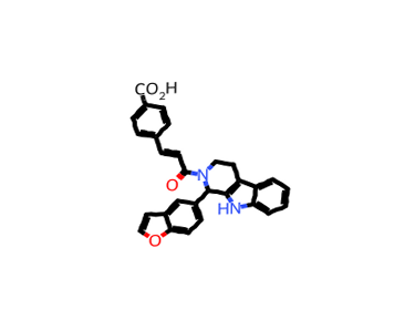 O=C(O)c1ccc(C=CC(=O)N2CCc3c([nH]c4ccccc34)C2c2ccc3occc3c2)cc1